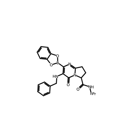 CCCNC(=O)C1CCc2nc(B3Oc4ccccc4O3)c(NCc3ccccc3)c(=O)n21